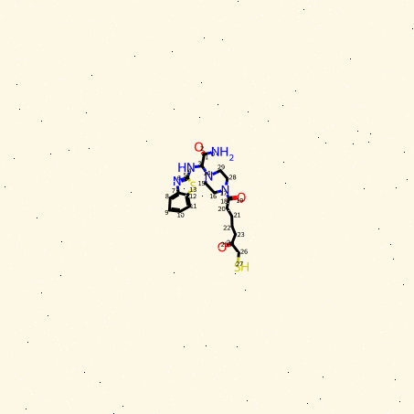 NC(=O)C(Nc1nc2ccccc2s1)N1CCN(C(=O)CCCCC(=O)CS)CC1